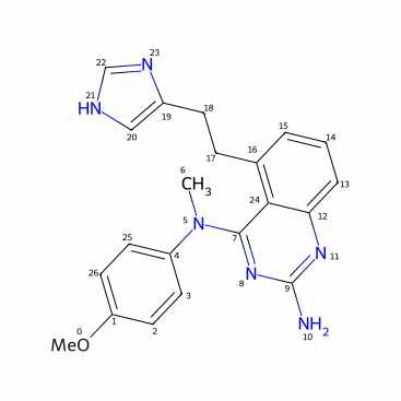 COc1ccc(N(C)c2nc(N)nc3cccc(CCc4c[nH]cn4)c23)cc1